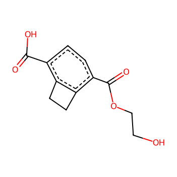 O=C(O)c1ccc(C(=O)OCCO)c2c1CC2